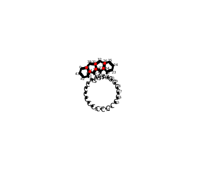 c1ccc([As]2CCCCCCCCCCCCCCCC[As](c3ccccc3)[As](c3ccccc3)[As]2c2ccccc2)cc1